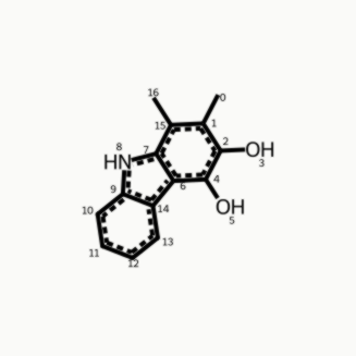 Cc1c(O)c(O)c2c([nH]c3ccccc32)c1C